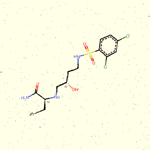 CC(C)C[C@H](NC[C@@H](O)CCNS(=O)(=O)c1ccc(Cl)cc1Cl)C(N)=O